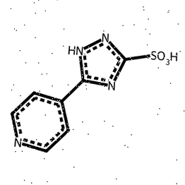 O=S(=O)(O)c1n[nH]c(-c2ccncc2)n1